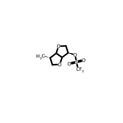 C[C@H]1COC2C1OC[C@H]2OS(=O)(=O)C(F)(F)F